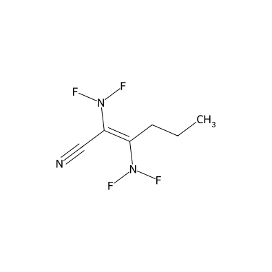 CCCC(=C(C#N)N(F)F)N(F)F